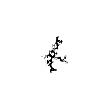 Cc1cc(CNc2nc(N)c(-c3cc(C4CC4)n[nH]3)c(OCCN(C)C)n2)on1